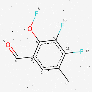 Cc1cc(C=O)c(OF)c(F)c1F